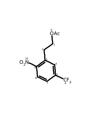 CC(=O)OCCc1cc(C(F)(F)F)ccc1[N+](=O)[O-]